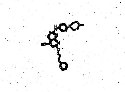 C#Cc1cc(OCCCc2ccccc2)nc2nc(Nc3ccc(N4CCN(C)CC4)cc3)ncc12